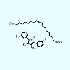 CCCCC1=C(c2cccc(CC)c2)[N+](=[N-])C(c2cccc(CC)c2)=C1CC.CCCCCCCCCCCCCCCCC[CH2][Ni][CH2]CCCCCCCCCCCCCCCCC